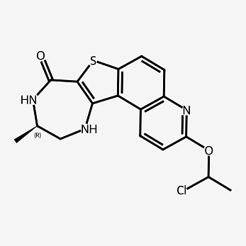 CC(Cl)Oc1ccc2c(ccc3sc4c(c32)NC[C@@H](C)NC4=O)n1